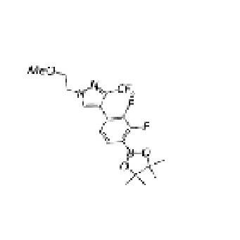 COCCn1cc(-c2ccc(B3OC(C)(C)C(C)(C)O3)c(F)c2F)c(C(F)(F)F)n1